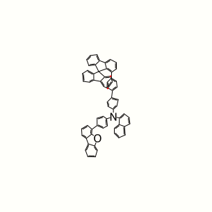 c1ccc2c(c1)-c1ccccc1C21c2ccccc2-c2cccc(-c3ccc(-c4ccc(N(c5ccc(-c6cccc7c6oc6ccccc67)cc5)c5cccc6ccccc56)cc4)cc3)c21